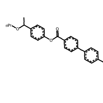 CCCOc1ccc(-c2ccc(C(=O)Oc3ccc(C(C)OCCC)cc3)cc2)cc1